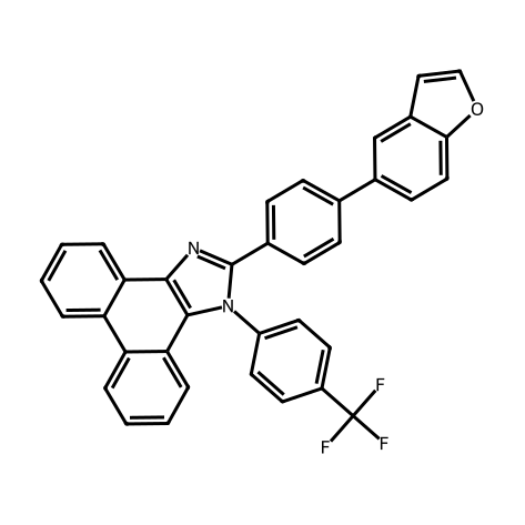 FC(F)(F)c1ccc(-n2c(-c3ccc(-c4ccc5occc5c4)cc3)nc3c4ccccc4c4ccccc4c32)cc1